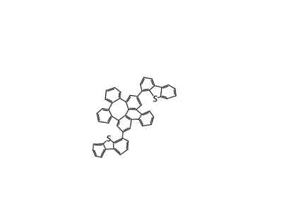 c1ccc2c(c1)sc1c(-c3cc4c5ccccc5c5ccccc5c5cc(-c6cccc7c6sc6ccccc67)cc6c7ccccc7c(c3)c4c56)cccc12